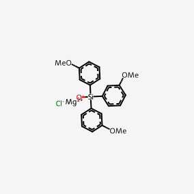 COc1cccc([Si]([O-])(c2cccc(OC)c2)c2cccc(OC)c2)c1.[Cl-].[Mg+2]